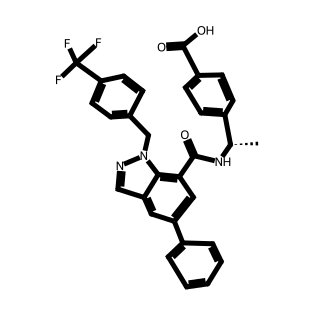 C[C@H](NC(=O)c1cc(-c2ccccc2)cc2cnn(Cc3ccc(C(F)(F)F)cc3)c12)c1ccc(C(=O)O)cc1